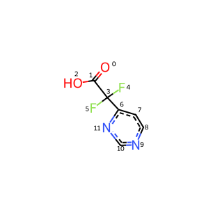 O=C(O)C(F)(F)c1ccncn1